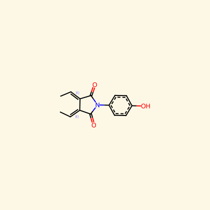 C/C=C1/C(=O)N(c2ccc(O)cc2)C(=O)/C1=C/C